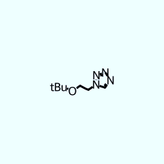 CC(C)(C)OCCn1cnnn1